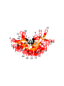 O=P(O)(O)[O][W](=[O])(=[O])([O]P(=O)(O)O)([P](=O)(O)O)([P](=O)(O)O)([P](=O)(O)O)([P](=O)(O)O)([P](=O)(O)O)([P](=O)(O)O)([P](=O)(O)O)([P](=O)(O)O)([P](=O)(O)O)[P](=O)(O)O